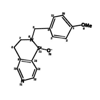 COc1ccc(CN2CCc3cnccc3[S+]2[O-])cc1